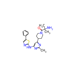 Cc1nc(Nc2ncc(-c3ccccc3)s2)cc(C2CCN(C(=O)C(C)(C)N)CC2)n1